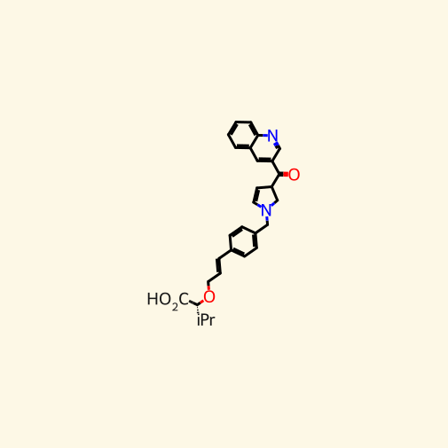 CC(C)[C@@H](OC/C=C/c1ccc(CN2C=CC(C(=O)c3cnc4ccccc4c3)C2)cc1)C(=O)O